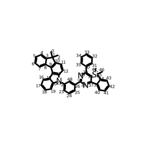 CC1(C)c2ccccc2-c2c1ccc1c2c2ccccc2n1-c1cccc(-c2nc(-c3ccccc3)c3c(n2)-c2ccccc2[Si]3(C)C)c1